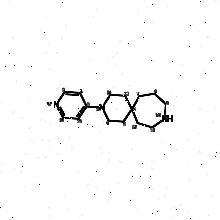 c1cc(N2CCC3(CCCNCC3)CC2)ccn1